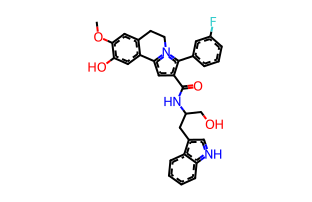 COc1cc2c(cc1O)-c1cc(C(=O)NC(CO)Cc3c[nH]c4ccccc34)c(-c3cccc(F)c3)n1CC2